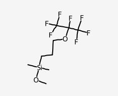 CO[Si](C)(C)CCCOC(F)(C(F)(F)F)C(F)(F)F